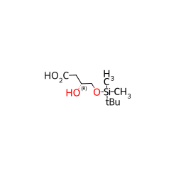 CC(C)(C)[Si](C)(C)OC[C@H](O)CC(=O)O